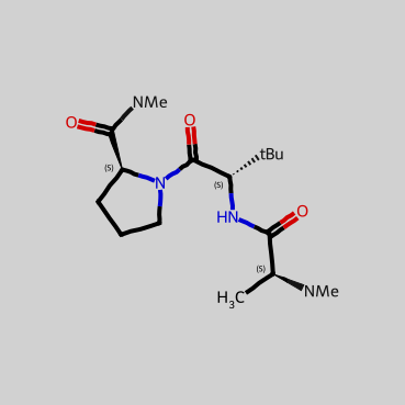 CNC(=O)[C@@H]1CCCN1C(=O)[C@@H](NC(=O)[C@H](C)NC)C(C)(C)C